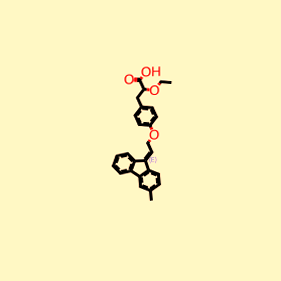 CCOC(Cc1ccc(OC/C=C2\c3ccccc3-c3cc(C)ccc32)cc1)C(=O)O